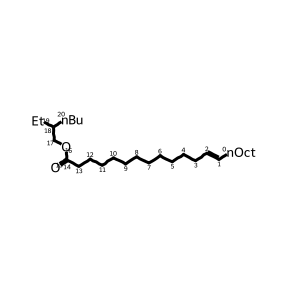 CCCCCCCCC=CCCCCCCCCCCCC(=O)OCC(CC)CCCC